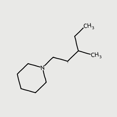 CCC(C)[CH]CN1CCCCC1